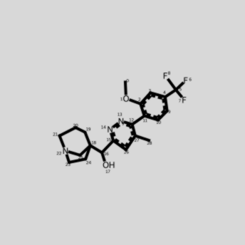 COc1cc(C(F)(F)F)ccc1-c1nnc(C(O)C23CCCN(CC2)C3)cc1C